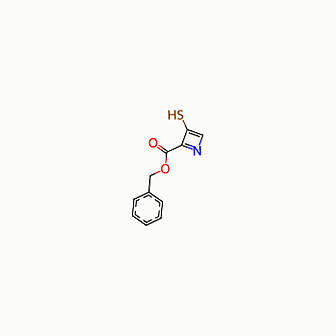 O=C(OCc1ccccc1)C1=NC=C1S